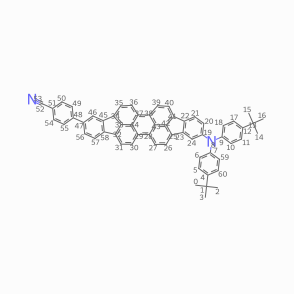 CC(C)(C)c1ccc(N(c2ccc(C(C)(C)C)cc2)c2ccc3c(c2)-c2ccc4c5ccc6c7c(ccc(c8ccc-3c2c84)c75)-c2cc(-c3ccc(C#N)cc3)ccc2-6)cc1